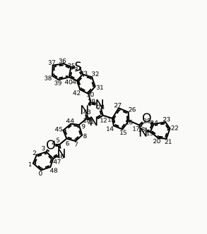 c1ccc2oc(-c3ccc(-c4nc(-c5ccc(-c6nc7ccccc7o6)cc5)nc(-c5ccc6sc7ccccc7c6c5)n4)cc3)nc2c1